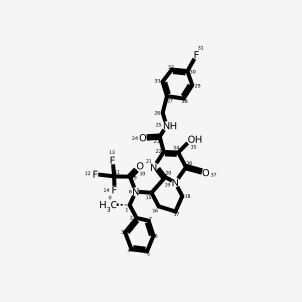 C[C@@H](c1ccccc1)N(C(=O)C(F)(F)F)C1CCCn2c1nc(C(=O)NCc1ccc(F)cc1)c(O)c2=O